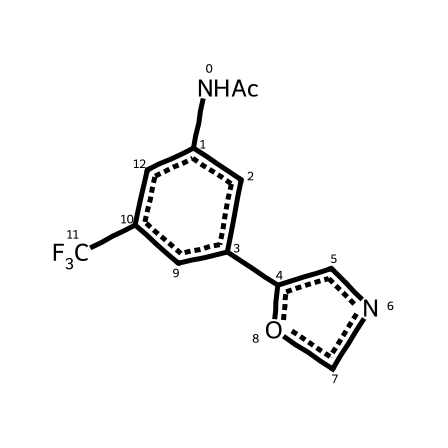 CC(=O)Nc1cc(-c2cnco2)cc(C(F)(F)F)c1